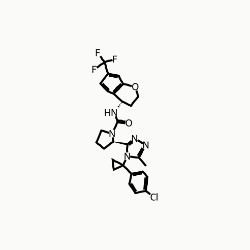 Cc1nnc([C@H]2CCCN2C(=O)N[C@H]2CCOc3cc(C(F)(F)F)ccc32)n1C1(c2ccc(Cl)cc2)CC1